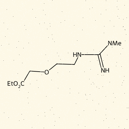 CCOC(=O)COCCNC(=N)NC